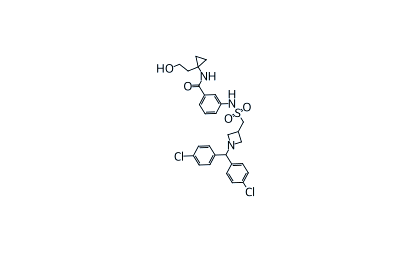 O=C(NC1(CCO)CC1)c1cccc(NS(=O)(=O)CC2CN(C(c3ccc(Cl)cc3)c3ccc(Cl)cc3)C2)c1